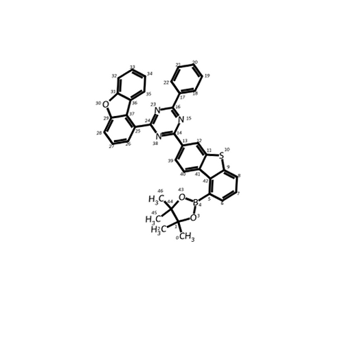 CC1(C)OB(c2cccc3sc4cc(-c5nc(-c6ccccc6)nc(-c6cccc7oc8ccccc8c67)n5)ccc4c23)OC1(C)C